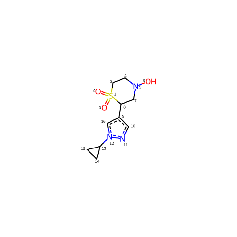 O=S1(=O)CCN(O)CC1c1cnn(C2CC2)c1